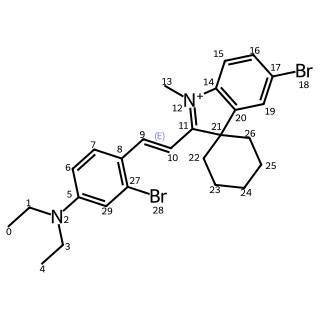 CCN(CC)c1ccc(/C=C/C2=[N+](C)c3ccc(Br)cc3C23CCCCC3)c(Br)c1